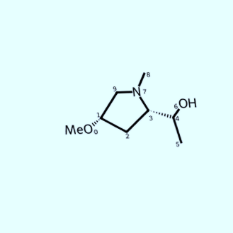 CO[C@H]1C[C@@H](C(C)O)N(C)C1